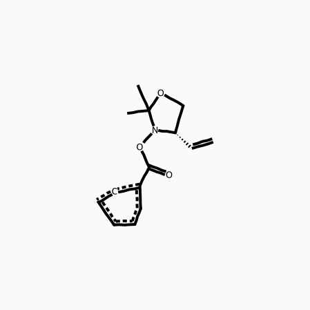 C=C[C@H]1COC(C)(C)N1OC(=O)c1ccccc1